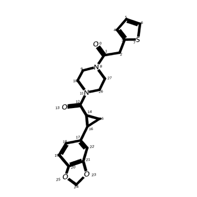 O=C(Cc1cccs1)N1CCN(C(=O)C2CC2c2ccc3c(c2)OCO3)CC1